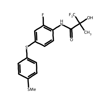 CSc1ccc(Sc2ccc(NC(=O)C(C)(O)C(F)(F)F)c(F)c2)cc1